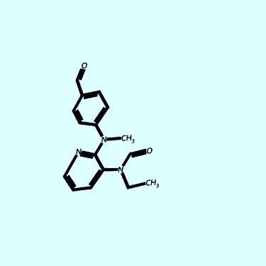 CCN(C=O)c1cccnc1N(C)c1ccc(C=O)cc1